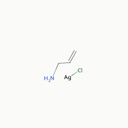 C=CCN.[Cl][Ag]